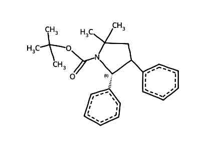 CC(C)(C)OC(=O)N1[C@@H](c2ccccc2)C(c2ccccc2)CC1(C)C